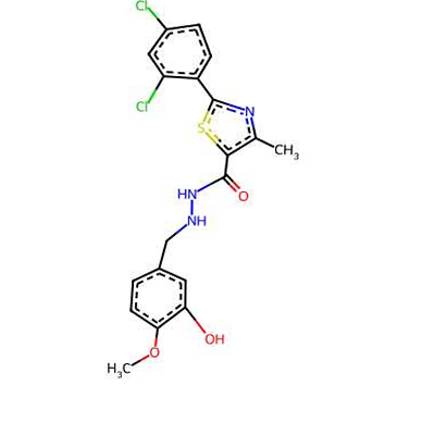 COc1ccc(CNNC(=O)c2sc(-c3ccc(Cl)cc3Cl)nc2C)cc1O